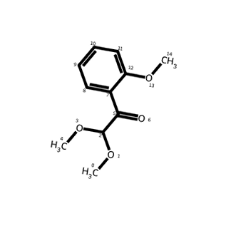 CO[C](OC)C(=O)c1ccccc1OC